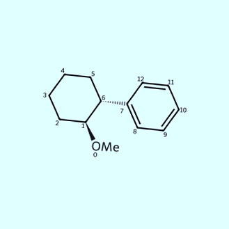 CO[C@H]1CCCC[C@@H]1c1ccccc1